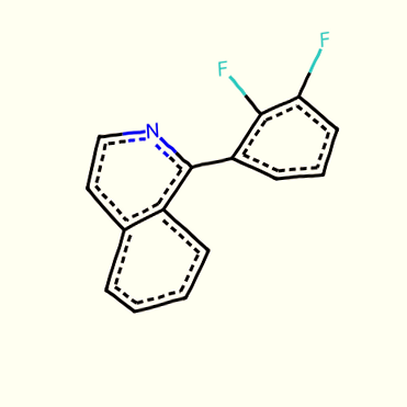 Fc1cccc(-c2nccc3ccccc23)c1F